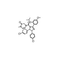 COc1ccc(C2=NC(c3ccc(Cl)cc3)C(C3=CC=C(Cl)CC3)N2C(=O)N2C=CN(C)C(=O)C2)c(OC(C)C)c1